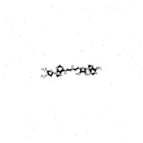 C[C@H]1C[C@H](n2cnc3c(NCCNCC[C@H]4O[C@H](n5cnc6c(N)ncnc65)C(O)C4O)ncnc32)O[C@@H]1C